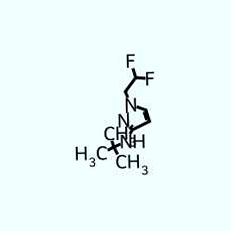 CC(C)(C)Nc1ccn(CC(F)F)n1